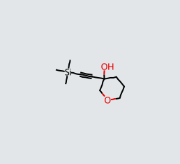 C[Si](C)(C)C#CC1(O)CCCOC1